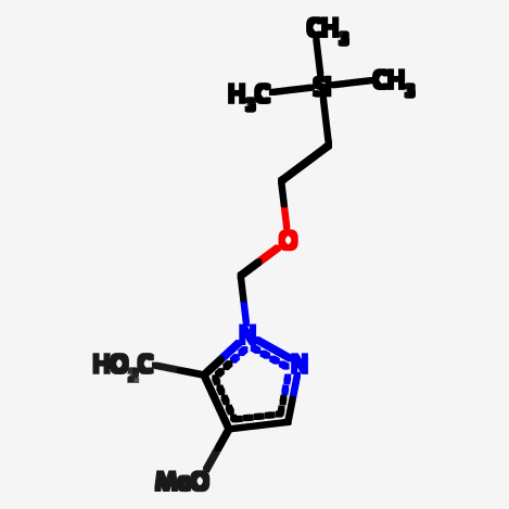 COc1cnn(COCC[Si](C)(C)C)c1C(=O)O